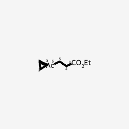 C1=CC1.CCOC(=O)CCC(C)=O